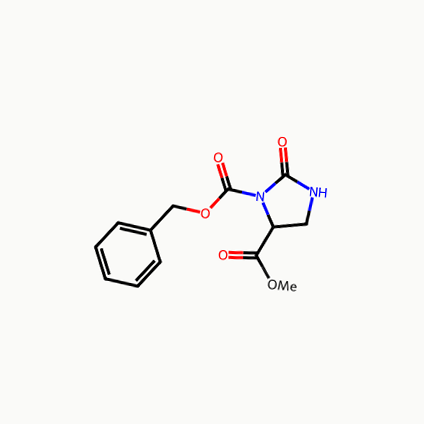 COC(=O)C1CNC(=O)N1C(=O)OCc1ccccc1